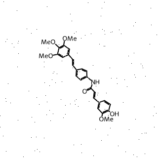 COc1cc(/C=C/C(=O)Nc2ccc(C=Cc3cc(OC)c(OC)c(OC)c3)cc2)ccc1O